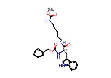 CC(C)(C)OC(=O)NCCCCCNC(=O)[C@@H](Cc1c[nH]c2ccccc12)NC(=O)OCc1ccccc1